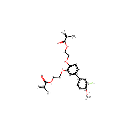 C=C(C)C(=O)OCCOc1ccc(-c2ccc(OC=O)c(F)c2)cc1OCCOC(=O)C(=C)C